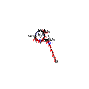 CCOCCOCCOCCOCCOCCOCCOCCNC(=O)OC1CC[C@@H](C[C@@H](C)[C@@H]2CC(=O)[C@H](C)/C=C(\C)[C@@H](O)[C@@H](OC)C(=O)[C@H](C)C[C@H](C)/C=C/C=C/C=C(\C)C(OC)C[C@@H]3CC[C@@H](C)[C@@](O)(O3)C(=O)C(=O)N3CCCC[C@H]3C(=O)O2)C[C@H]1OC